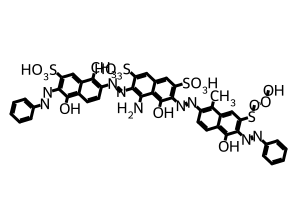 Cc1c(N=Nc2c(S(=O)(=O)O)cc3cc(S(=O)(=O)O)c(/N=N/c4ccc5c(O)c(N=Nc6ccccc6)c(SOOO)cc5c4C)c(O)c3c2N)ccc2c(O)c(N=Nc3ccccc3)c(S(=O)(=O)O)cc12